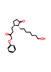 O=C(CC[C@H]1CCC(=O)[C@@H]1CCCCCCCO)COc1ccccc1